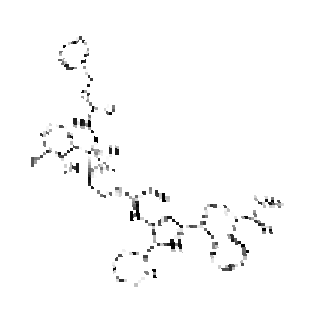 CNC(=O)c1ccc(-c2nn(C3CCCCO3)c3nc(N4CC[C@@H]5[C@H](C4)[C@@]5(CNC(=O)OCc4ccccc4)c4cccc(F)c4F)cnc23)c2cccnc12